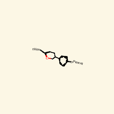 CCCCCCC1CCC(c2ccc(CCCCC)cc2)CO1